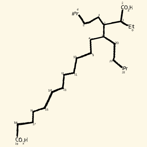 CCC(C(=O)O)C(CCC(C)C)C(CCCCCCCCCCCC(=O)O)CCC(C)C